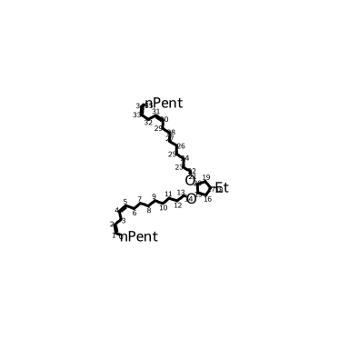 CCCCC/C=C\C/C=C\CCCCCCCCO[C@H]1C[C@@H](CC)C[C@H]1OCCCCCCCC/C=C\C/C=C\CCCCC